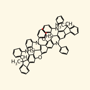 CC1(C)c2ccccc2-c2cc3c4c(c21)N(c1ccccc1)c1cccc2c1[SiH]4c1c(cc4cc5c6c(c4c1N2c1ccccc1)Oc1cccc2c1[SiH]6c1c(cc4c(c1N2c1ccccc1)C(C)(C)c1ccccc1-4)N5c1ccccc1)O3